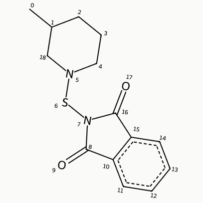 CC1CCCN(SN2C(=O)c3ccccc3C2=O)C1